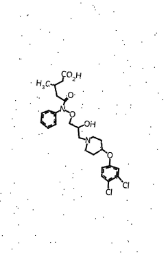 CC(CC(=O)O)CC(=O)N(OCC(O)CN1CCC(Oc2ccc(Cl)c(Cl)c2)CC1)c1ccccc1